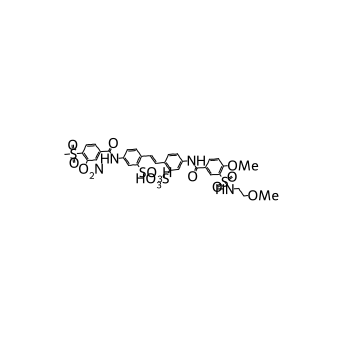 COCCNS(=O)(=O)c1cc(C(=O)Nc2ccc(C=Cc3ccc(NC(=O)c4ccc(S(C)(=O)=O)c([N+](=O)[O-])c4)cc3S(=O)(=O)O)c(S(=O)(=O)O)c2)ccc1OC